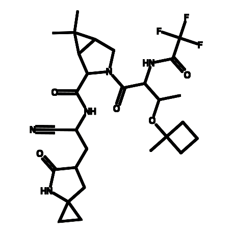 CC(OC1(C)CCC1)C(NC(=O)C(F)(F)F)C(=O)N1CC2C(C1C(=O)NC(C#N)CC1CC3(CC3)NC1=O)C2(C)C